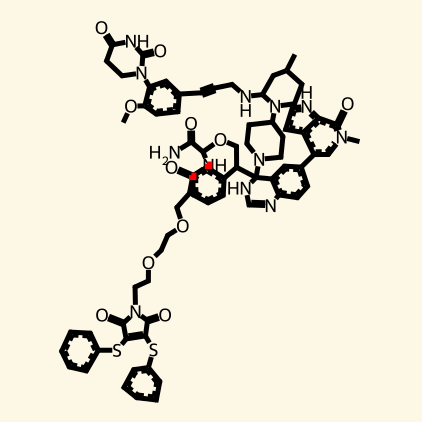 COc1ccc(C#CCNC2CC(C)CCN2C2CCN(C3(C(COC(NC(=O)CCOCCOCCN4C(=O)C(Sc5ccccc5)=C(Sc5ccccc5)C4=O)C(N)=O)c4ccccc4)NC=Nc4ccc(-c5cn(C)c(=O)c6[nH]ccc56)cc43)CC2)cc1N1CCC(=O)NC1=O